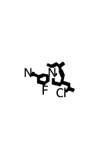 C=C(C#CC(/C=C\C)=C/C(=C)Cl)/C=C(/C)N(C)c1cc(F)cc(C#N)c1